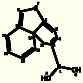 OB(O)C1=CC=C2SC=C3C=CC=CC32C1